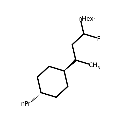 CCCCC[CH]C(F)CC(C)[C@H]1CC[C@H](CCC)CC1